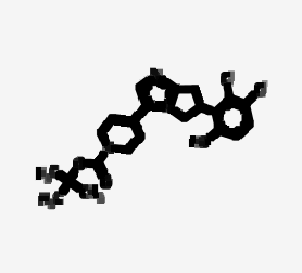 CC(C)(C)OC(=O)N1CC=C(c2cnc3n2CC(c2c(O)ccc(Cl)c2Cl)C3)CC1